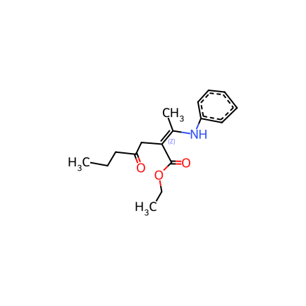 CCCC(=O)C/C(C(=O)OCC)=C(\C)Nc1ccccc1